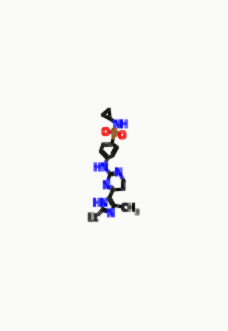 CCc1nc(C)c(-c2ccnc(Nc3ccc(S(=O)(=O)NC4CC4)cc3)n2)[nH]1